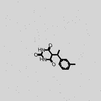 Cc1cccc(C(C)C2C(=O)NC(=O)NC2=O)c1